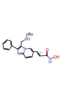 CCCCNCc1c(-c2ccccc2)nc2ccc(/C=C/C(=O)NO)cn12